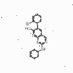 N#Cc1nc2nc(Nc3ccccc3)ncc2cc1-c1ccccc1Br